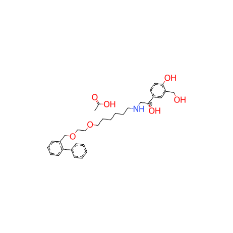 CC(=O)O.OCc1cc([C@@H](O)CNCCCCCCOCCOCc2ccccc2-c2ccccc2)ccc1O